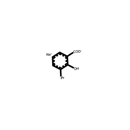 CC(C)c1cccc(C(=O)[O-])c1O.[Na+]